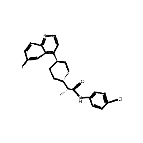 C[C@@H](C(=O)Nc1ccc(Cl)cc1)[C@H]1CC[C@H](c2ccnc3ccc(I)cc32)CC1